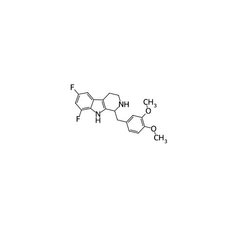 COc1ccc(CC2NCCc3c2[nH]c2c(F)cc(F)cc32)cc1OC